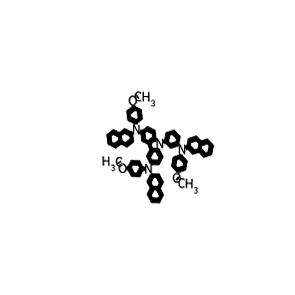 COc1ccc(N(c2cccc(-n3c4ccc(N(c5ccc(OC)cc5)c5ccc6ccccc6c5)cc4c4cc(N(c5ccc(OC)cc5)c5ccc6ccccc6c5)ccc43)c2)c2ccc3ccccc3c2)cc1